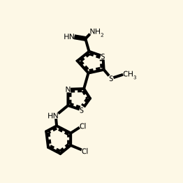 CSc1sc(C(=N)N)cc1-c1csc(Nc2cccc(Cl)c2Cl)n1